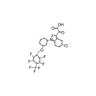 O=C(O)C(=O)c1cn(-c2cccc(OCc3c(F)c(F)c(C(F)(F)F)c(F)c3F)c2)c2ccc(Cl)cc12